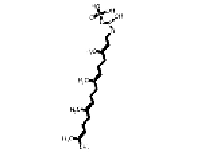 CC(C)=CCC/C(C)=C/CC/C(C)=C/CC/C(C)=C/COP(O)OP(=O)(O)O